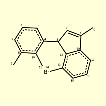 CC1=CC(c2cccc(C)c2C)c2c(Br)cccc21